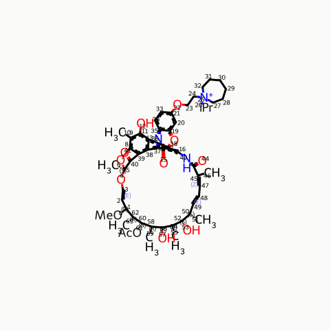 CO[C@H]1/C=C/O[C@@]2(C)Oc3c(C)c(O)c4c(=O)c(c5oc6cc(OCC[N+]7(C(C)C)CCCCCC7)ccc6nc-5c4c3C2=O)NC(=O)/C(C)=C\C=C\[C@H](C)[C@H](O)[C@@H](C)[C@@H](O)[C@@H](C)[C@H](OC(C)=O)[C@@H]1C